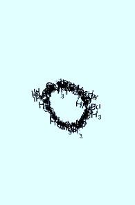 CC[C@H](C)C1NC(=O)C(CC(C)C)N(C)C(=O)CC(C)N(C)C(=O)C(CC(C)C)NC(=O)C(C)(C)N(C)C(=O)C(CC(C)C)NC(=O)CNC(=O)CN(C)C(=O)CN(C)C(=O)C2CCN2C(=O)CN(C)C1=O